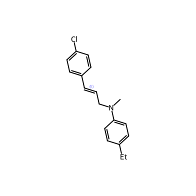 CCc1ccc(N(C)C/C=C/c2ccc(Cl)cc2)cc1